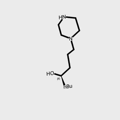 CCCC[C@@H](O)CCCN1CCNCC1